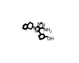 Nc1ncnc2c1c(-c1cccc(CO)c1)nn2C1CCc2ccccc2C1